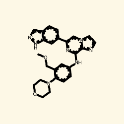 COCc1cc(Nc2nc(-c3ccc4cn[nH]c4c3)cn3ccnc23)ccc1N1CCOCC1